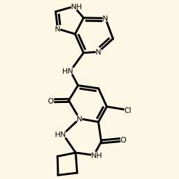 O=C1NC2(CCC2)Nn2c1c(Cl)cc(Nc1ncnc3[nH]cnc13)c2=O